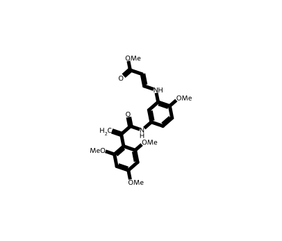 C=C(C(=O)Nc1ccc(OC)c(N/C=C/C(=O)OC)c1)c1c(OC)cc(OC)cc1OC